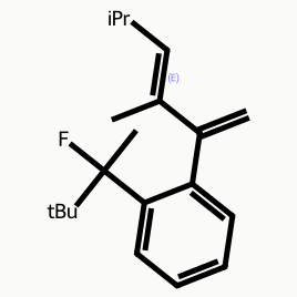 C=C(/C(C)=C/C(C)C)c1ccccc1C(C)(F)C(C)(C)C